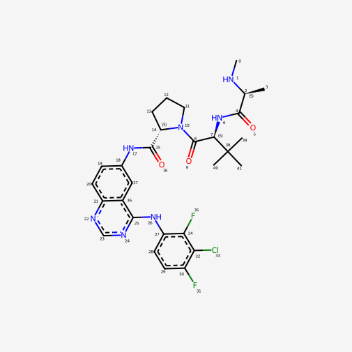 CN[C@@H](C)C(=O)N[C@H](C(=O)N1CCC[C@H]1C(=O)Nc1ccc2ncnc(Nc3ccc(F)c(Cl)c3F)c2c1)C(C)(C)C